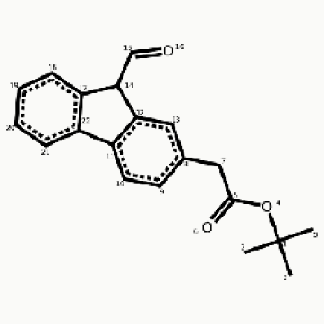 CC(C)(C)OC(=O)Cc1ccc2c(c1)C(C=O)c1ccccc1-2